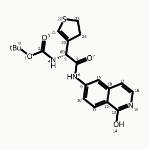 CC(C)(C)OC(=O)N[C@@H](C(=O)Nc1ccc2c(O)nccc2c1)C1=CSCC1